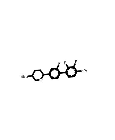 CCCCC1CCC(c2ccc(-c3ccc(CCC)c(F)c3F)c(F)c2)OC1